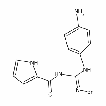 Nc1ccc(N/C(=N\Br)NC(=O)c2ccc[nH]2)cc1